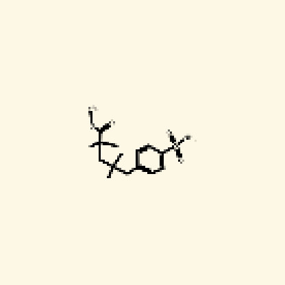 CC(C)(Cc1ccc(S(N)(=O)=O)cc1)CC(C)(C)C(=O)OC(C)(C)C